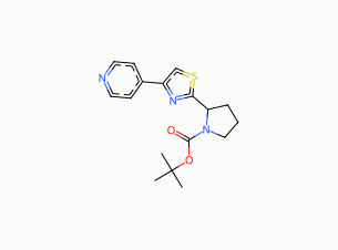 CC(C)(C)OC(=O)N1CCCC1c1nc(-c2ccncc2)cs1